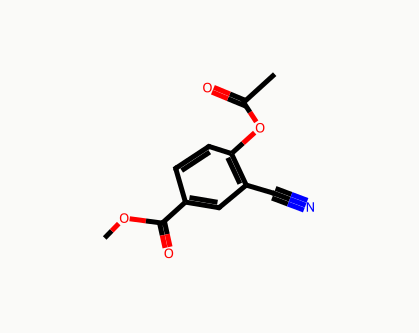 COC(=O)c1ccc(OC(C)=O)c(C#N)c1